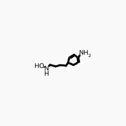 NC1=CCC(CCCCNO)C=C1